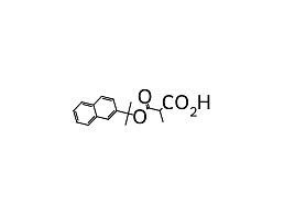 CC(C(=O)O)C(=O)OC(C)(C)c1ccc2ccccc2c1